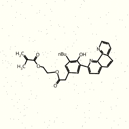 C=C(C)C(=O)OCCOC(=O)Cc1cc(CCCC)c(O)c(-c2ccc3ccc4cccnc4c3n2)c1